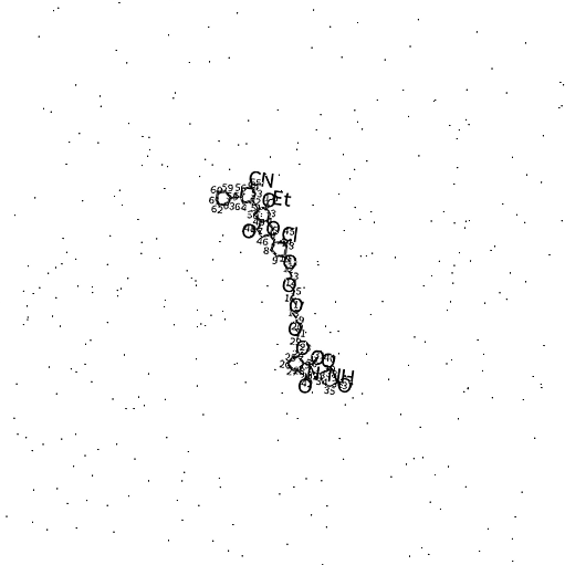 CCOc1cc2oc(-c3ccc(OCCOCCOCCOCCOc4cccc5c4C(=O)N(C4CCC(=O)NC4=O)C5=O)cc3Cl)cc(=O)c2cc1-c1cc(C#N)cc(-c2ccccc2)c1